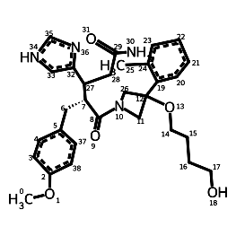 COc1ccc(C[C@@H](C(=O)N2CC(OCCCCO)(c3ccccc3C)C2)C(CC(N)=O)c2c[nH]cn2)cc1